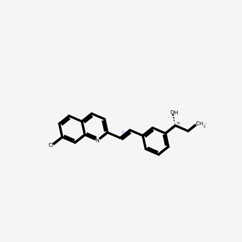 [CH2]C[C@@H](O)c1cccc(/C=C/c2ccc3ccc(Cl)cc3n2)c1